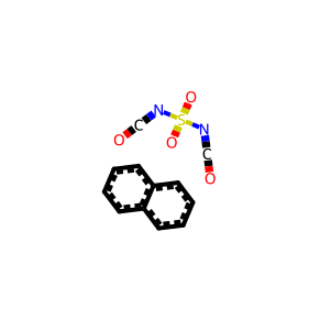 O=C=NS(=O)(=O)N=C=O.c1ccc2ccccc2c1